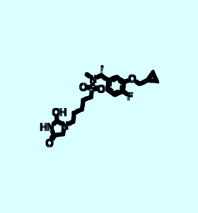 C[C@H](c1ccc(F)c(OCC2CC2)c1)N(C)S(=O)(=O)CCCCCN1CC(=O)NC1O